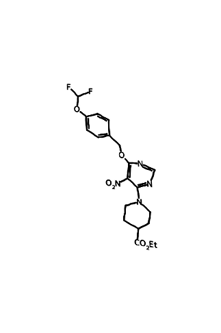 CCOC(=O)C1CCN(c2ncnc(OCc3ccc(OC(F)F)cc3)c2[N+](=O)[O-])CC1